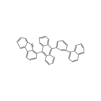 c1cc(-c2cccc3ccccc23)cc(-c2c3ccccc3c(-c3cccc4c3sc3ccccc34)c3ccccc23)c1